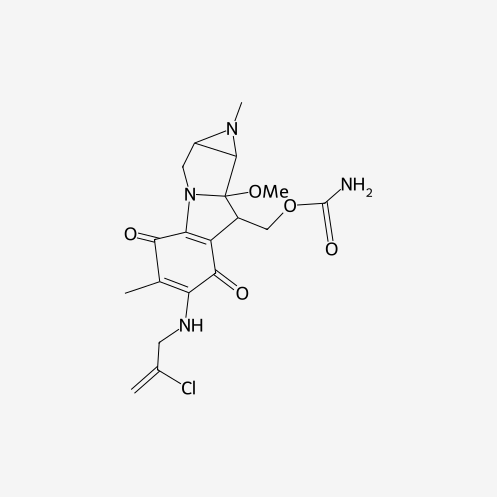 C=C(Cl)CNC1=C(C)C(=O)C2=C(C1=O)C(COC(N)=O)C1(OC)C3C(CN21)N3C